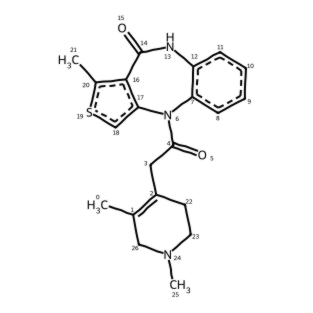 CC1=C(CC(=O)N2c3ccccc3NC(=O)c3c2csc3C)CCN(C)C1